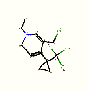 CCN1C=C(CCl)C(C2(C(F)(F)F)CC2)=CC1